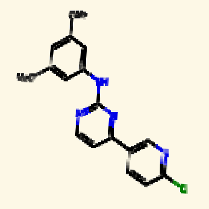 COc1cc(Nc2nccc(-c3ccc(Cl)nc3)n2)cc(OC)c1